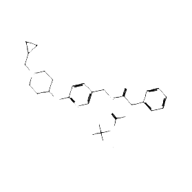 CC(C)(C)OC(=O)N[C@H](C(=O)NCc1ccc(OC2CCN(CC3CC3)CC2)nc1)c1ccccc1